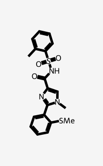 CSc1ccccc1-c1nc(C(=O)NS(=O)(=O)c2ccccc2C)cn1C